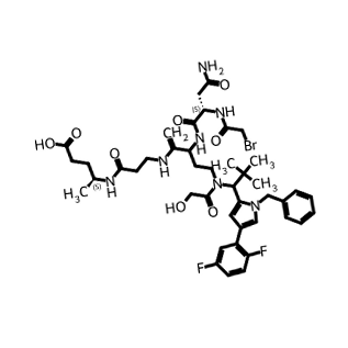 C=C(NCCC(=O)N[C@@H](C)CCC(=O)O)C(CCN(C(=O)CO)C(c1cc(-c2cc(F)ccc2F)cn1Cc1ccccc1)C(C)(C)C)NC(=O)[C@H](CC(N)=O)NC(=O)CBr